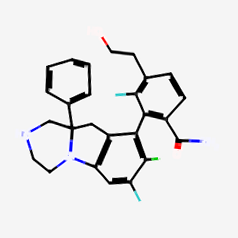 NC(=O)c1ccc(CCO)c(F)c1-c1c(Cl)c(F)cc2c1CC1(c3ccccc3)CNCCN21